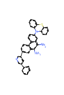 Nc1c(N)c2cc(N3c4ccccc4Sc4ccccc43)ccc2c2ccc(-c3cncc(-c4ccccc4)c3)cc12